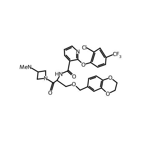 CNC1CN(C(=O)C(COCc2ccc3c(c2)OCCO3)NC(=O)c2cccnc2Oc2ccc(C(F)(F)F)cc2Cl)C1